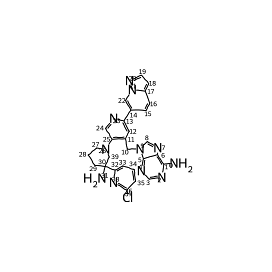 Nc1ncnc2c1ncn2Cc1cc(-c2ccc3ccnn3c2)ncc1N1CCCC(N)(c2cccc(Cl)n2)C1